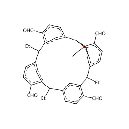 CCC1c2ccc(C=O)c(c2)C(CC)c2ccc(C=O)c3c2C(C)C3c2ccc(C=O)c(c2)C(CC)c2ccc(C=O)c1c2